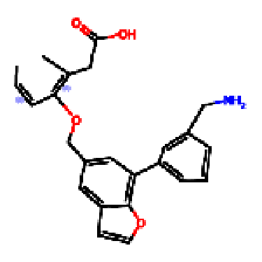 C/C=C\C(OCc1cc(-c2cccc(CN)c2)c2occc2c1)=C(/C)CC(=O)O